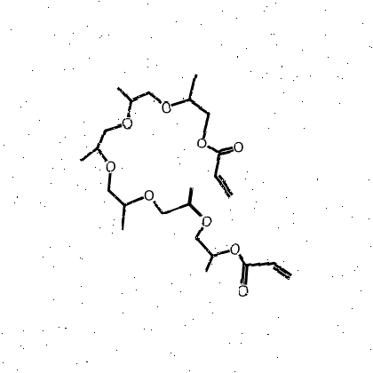 C=CC(=O)OCC(C)OCC(C)OCC(C)OCC(C)OCC(C)OCC(C)OC(=O)C=C